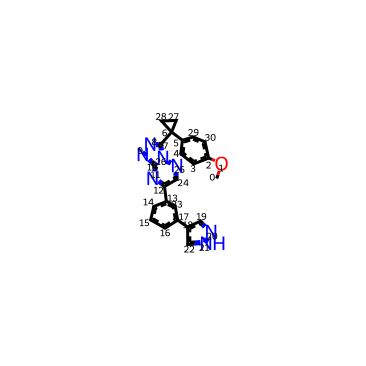 COc1ccc(C2(c3nnc4nc(-c5cccc(-c6cn[nH]c6)c5)cnn34)CC2)cc1